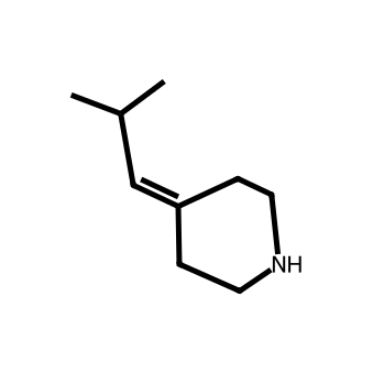 CC(C)C=C1CCNCC1